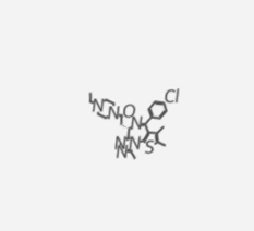 CCN1CCN(C(=O)C[C@@H]2N=C(c3ccc(Cl)cc3)c3c(sc(C)c3C)-n3c(C)nnc32)CC1